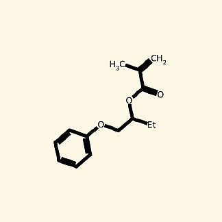 C=C(C)C(=O)OC(CC)COc1ccccc1